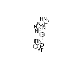 Nc1ncnc2c1c(-c1ccc(CNC(=O)c3c(F)cccc3C(F)(F)F)cc1)nn2[C@@H]1CCCNC1